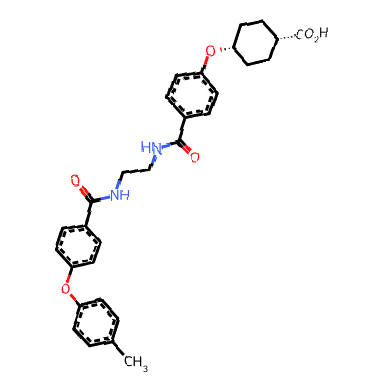 Cc1ccc(Oc2ccc(C(=O)NCCNC(=O)c3ccc(O[C@H]4CC[C@@H](C(=O)O)CC4)cc3)cc2)cc1